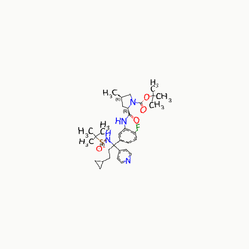 C[C@@H]1C[C@H](C(=O)Nc2cc(C(CCC3CC3)(N[S@+]([O-])C(C)(C)C)c3ccncc3)ccc2F)N(C(=O)OC(C)(C)C)C1